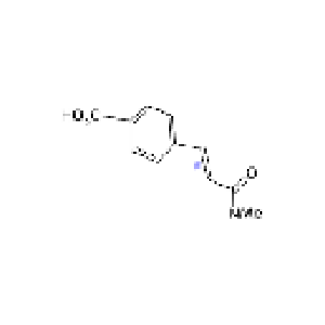 CNC(=O)/C=C/c1ccc(C(=O)O)cc1